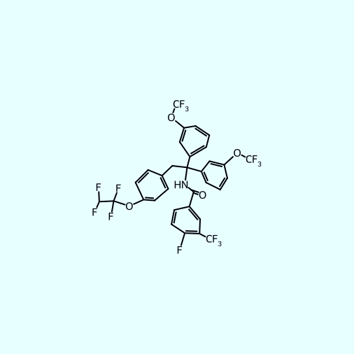 O=C(NC(Cc1ccc(OC(F)(F)C(F)F)cc1)(c1cccc(OC(F)(F)F)c1)c1cccc(OC(F)(F)F)c1)c1ccc(F)c(C(F)(F)F)c1